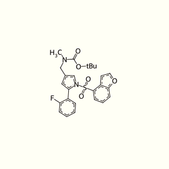 CN(Cc1cc(-c2ccccc2F)n(S(=O)(=O)c2cccc3occc23)c1)C(=O)OC(C)(C)C